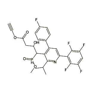 C#COC(=O)CC(O)C(c1c(-c2ccc(F)cc2)cc(-c2c(F)c(F)cc(F)c2F)nc1C(C)C)[PH](=O)OC